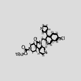 CC(C)(C)OC(=O)N1CCC2(CC1)C(=O)N(Cc1ncc3cc(Cl)ccc3c1-c1cccnc1)c1cnccc12